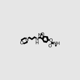 CNC(=O)Oc1ccc2c(NCCCN3CCOCC3)noc2c1